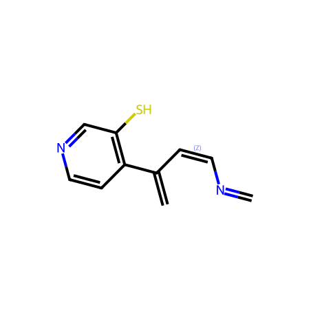 C=N/C=C\C(=C)c1ccncc1S